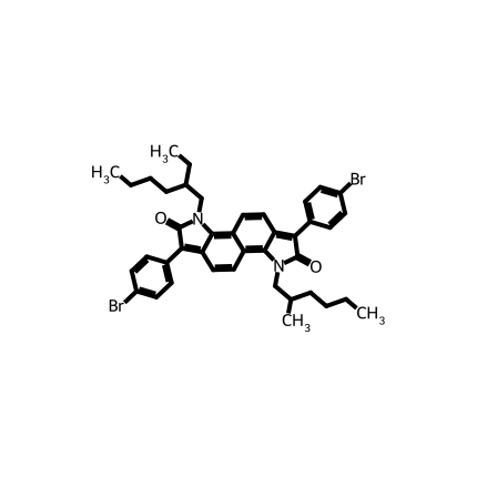 CCCCC(C)CN1C(=O)C(c2ccc(Br)cc2)=c2ccc3c4c(ccc3c21)=C(c1ccc(Br)cc1)C(=O)N4CC(CC)CCCC